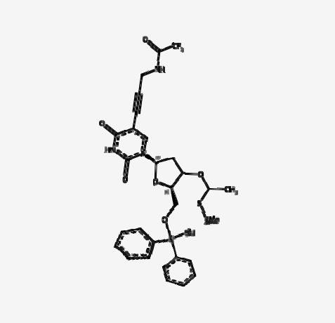 CSSC(C)OC1C[C@H](n2cc(C#CCNC(=O)C(F)(F)F)c(=O)[nH]c2=O)O[C@@H]1CO[Si](c1ccccc1)(c1ccccc1)C(C)(C)C